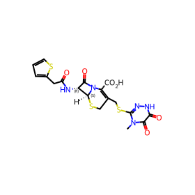 Cn1c(SCC2=C(C(=O)O)N3C(=O)[C@@H](NC(=O)Cc4cccs4)[C@@H]3SC2)n[nH]c(=O)c1=O